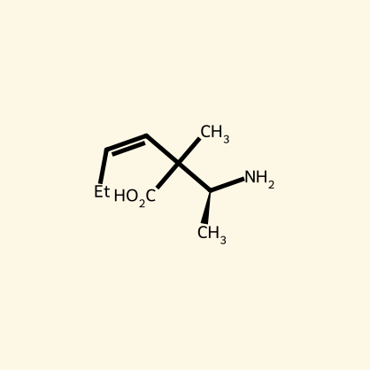 CC/C=C\C(C)(C(=O)O)[C@H](C)N